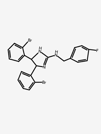 Fc1ccc(CNC2=NC(c3ccccc3Br)C(c3ccccc3Br)N2)cc1